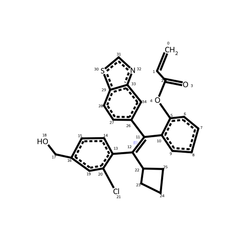 C=CC(=O)Oc1ccccc1/C(=C(/c1ccc(CO)cc1Cl)C1CCC1)c1ccc2scnc2c1